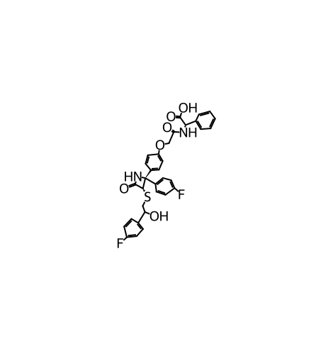 O=C(COc1ccc([C@]2(c3ccc(F)cc3)NC(=O)[C@@H]2SCC(O)c2ccc(F)cc2)cc1)N[C@@H](C(=O)O)c1ccccc1